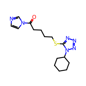 O=C(CCCCSc1nnnn1C1CCCCC1)n1ccnc1